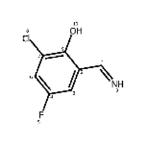 N=Cc1cc(F)cc(Cl)c1O